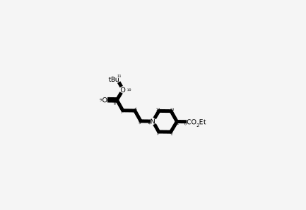 CCOC(=O)C1CCN(CCCC(=O)OC(C)(C)C)CC1